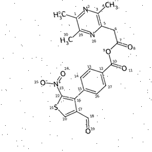 Cc1nc(C)c(CC(=O)OC(=O)c2ccc(-c3c(C=O)csc3[N+](=O)[O-])cc2)nc1C